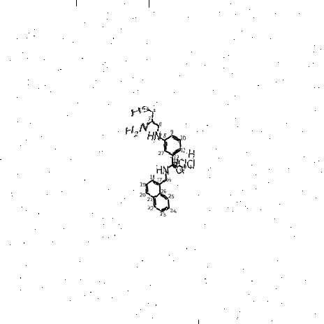 Cl.Cl.N[C@@H](CS)CNc1cccc(C(=O)NCc2cccc3ccccc23)c1